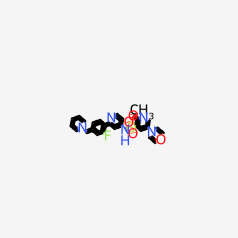 COc1ncc(N2CCOCC2)cc1S(=O)(=O)Nc1ccnc(-c2ccc(CN3CCCCC3)cc2F)c1